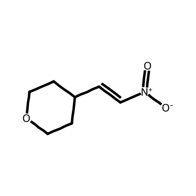 O=[N+]([O-])/C=C/C1CCOCC1